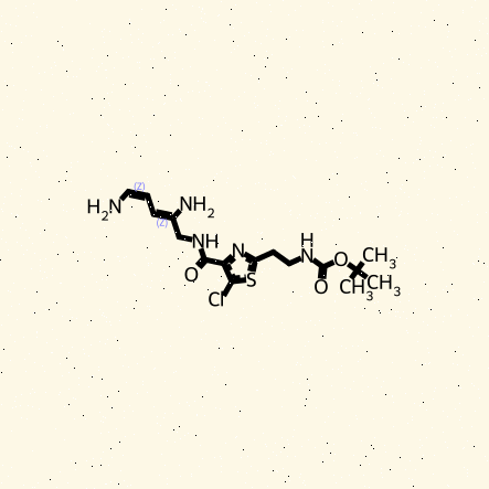 CC(C)(C)OC(=O)NCCc1nc(C(=O)NC/C(N)=C/C=C\N)c(Cl)s1